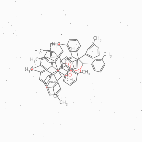 Cc1cccc(C(OB(OC(c2cccc(C)c2)C(c2cccc(C)c2)(c2cccc(C)c2)c2cccc(C)c2)OC(c2cccc(C)c2)C(c2cccc(C)c2)(c2cccc(C)c2)c2cccc(C)c2)C(c2cccc(C)c2)(c2cccc(C)c2)c2cccc(C)c2)c1